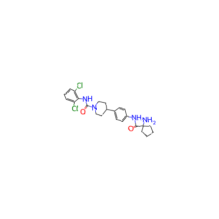 NC1(C(=O)Nc2ccc(C3CCN(C(=O)Nc4c(Cl)cccc4Cl)CC3)cc2)CCCC1